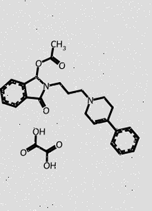 CC(=O)OC1c2ccccc2C(=O)N1CCCN1CC=C(c2ccccc2)CC1.O=C(O)C(=O)O